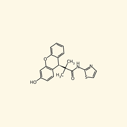 CC(C)(C(=O)Nc1nccs1)[C@@H]1c2ccccc2Oc2cc(O)ccc21